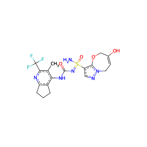 Cc1c(C(F)(F)F)nc2c(c1NC(=O)N=S(N)(=O)c1cnn3c1OCC(O)=CC3)CCC2